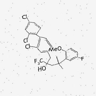 COc1ccc(F)cc1C(C)(C)CC(O)(Cc1ccc(-c2ccc(Cl)cc2Cl)c(Cl)c1)C(F)(F)F